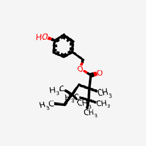 CCC(C)(C)CC(C)(C(=O)OCc1ccc(O)cc1)C(C)(C)C